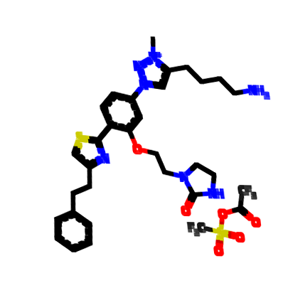 C[n+]1nn(-c2ccc(-c3nc(CCc4ccccc4)cs3)c(OCCN3CCNC3=O)c2)cc1CCCCN.O=C(OS(=O)(=O)C(F)(F)F)C(F)(F)F